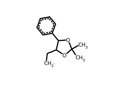 [CH2]CC1OC(C)(C)OC1c1ccccc1